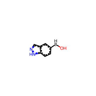 OBc1ccc2[nH]ncc2c1